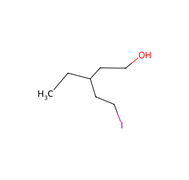 CCC(CCO)CCI